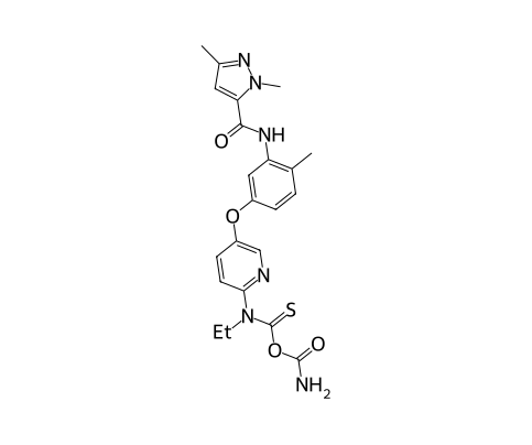 CCN(C(=S)OC(N)=O)c1ccc(Oc2ccc(C)c(NC(=O)c3cc(C)nn3C)c2)cn1